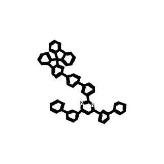 c1ccc(-c2cccc(-c3cc(-c4cccc(-c5ccccc5)c4)nc(-c4cccc(-c5ccc(-c6ccc7c(c6)C6(c8ccccc8-c8ccccc86)c6ccccc6-7)cc5)c4)n3)c2)cc1